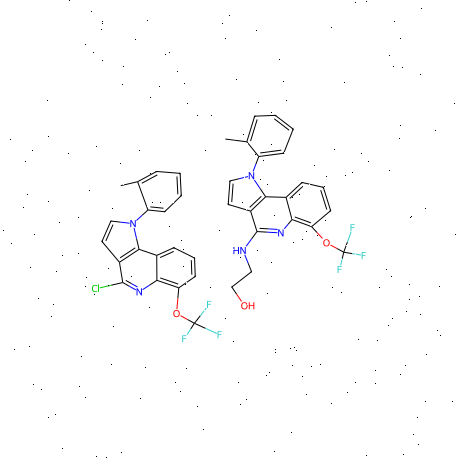 Cc1ccccc1-n1ccc2c(Cl)nc3c(OC(F)(F)F)cccc3c21.Cc1ccccc1-n1ccc2c(NCCO)nc3c(OC(F)(F)F)cccc3c21